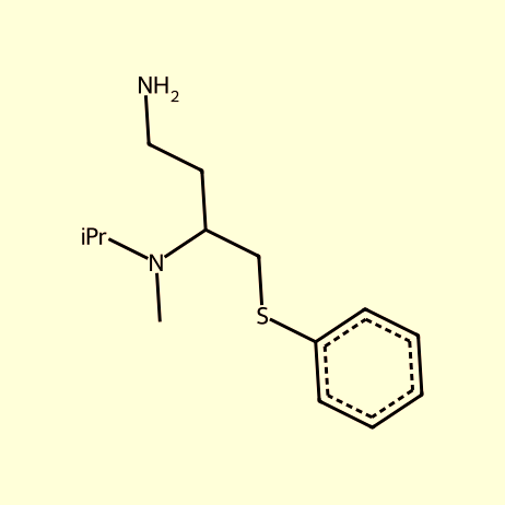 CC(C)N(C)C(CCN)CSc1ccccc1